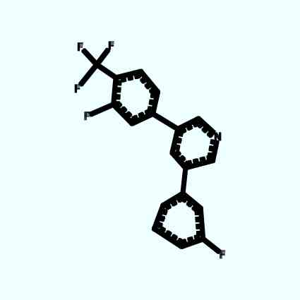 Fc1cccc(-c2cncc(-c3ccc(C(F)(F)F)c(F)c3)c2)c1